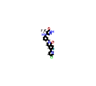 O=c1[nH]ncc(N[C@H]2CCC[C@@H](Cn3ccc4cc(-c5ccc(Cl)cn5)c(F)cc4c3=O)C2)c1C(F)(F)F